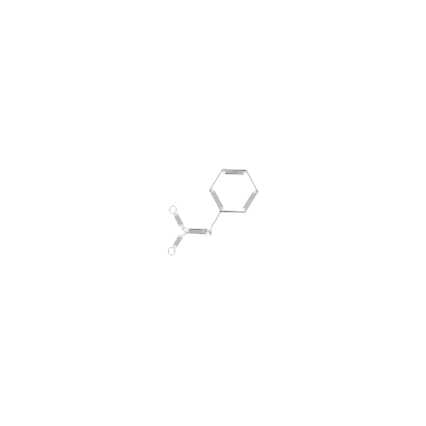 O=S(=O)=Nc1ccccc1